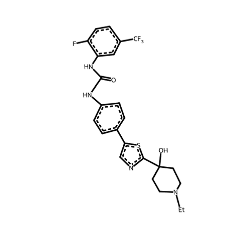 CCN1CCC(O)(c2ncc(-c3ccc(NC(=O)Nc4cc(C(F)(F)F)ccc4F)cc3)s2)CC1